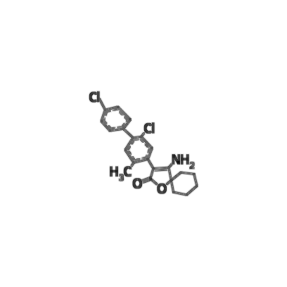 Cc1cc(-c2ccc(Cl)cc2)c(Cl)cc1C1=C(N)C2(CCCCC2)OC1=O